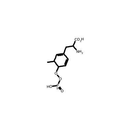 CC1C=C(CC(N)C(=O)O)C=CC1OO[PH](=O)O